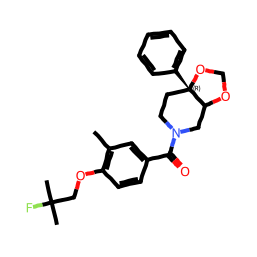 Cc1cc(C(=O)N2CC[C@]3(c4ccccc4)OCOC3C2)ccc1OCC(C)(C)F